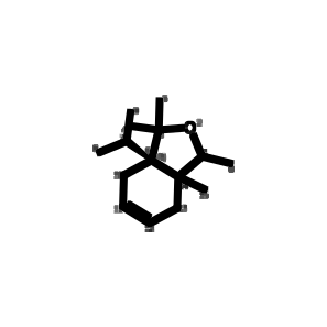 CC1OC(C)(C)[C@@]2(C(C)C)CC=CCC12C